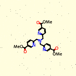 COC(=O)c1ccc(CN(Cc2ccc(C(=O)OC)cn2)Cc2ccc(C(=O)OC)cn2)nc1